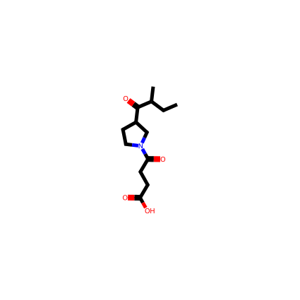 CCC(C)C(=O)C1CCN(C(=O)CCC(=O)O)C1